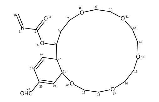 C=NC(=O)OC1CCOCCOCCOCCOCCOC2C=C(C=O)C=CC21